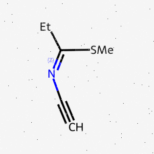 C#C/N=C(/CC)SC